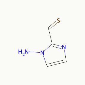 Nn1ccnc1C=S